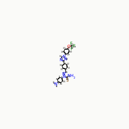 CN(C)c1ccc(N(/N=C/c2ccc(-c3ncn(-c4ccc(OC(F)(F)F)cc4)n3)cc2)C(N)=S)cc1